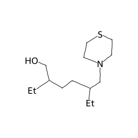 CCC(CO)CCC(CC)CN1CCSCC1